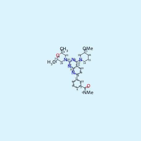 CNC(=O)c1cccc(-c2ccc3c(N4CCCC(OC)C4)nc(N4CC(C)OC(C)C4)nc3n2)c1